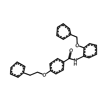 O=C(Nc1ccccc1OCc1ccccc1)c1ccc(OCCc2ccccc2)cc1